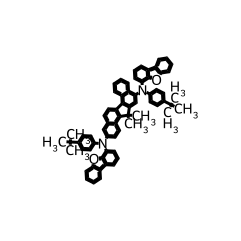 CC(C)(C)c1ccc(N(c2ccc3c4c(ccc3c2)-c2c(cc(N(c3ccc(C(C)(C)C)cc3)c3cccc5c3oc3ccccc35)c3ccccc23)C4(C)C)c2cccc3c2oc2ccccc23)cc1